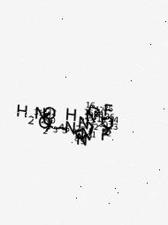 CC(C)(CCCNc1cnn2ccc(N3CCC[C@@H]3c3cc(F)ccc3F)nc12)OC(N)=O